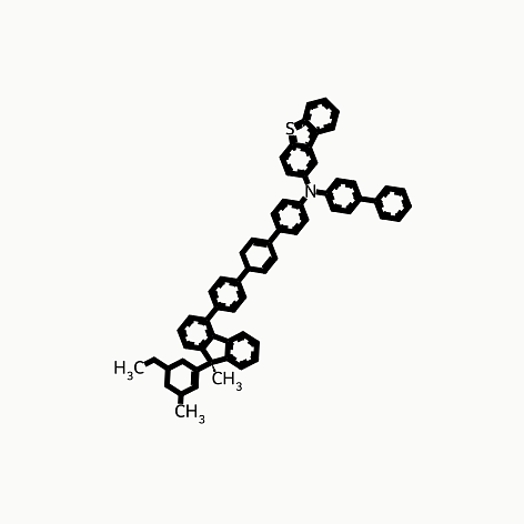 CCC1CC([C@]2(C)c3ccccc3-c3c(-c4ccc(C5C=CC(c6ccc(N(c7ccc(-c8ccccc8)cc7)c7ccc8sc9ccccc9c8c7)cc6)=CC5)cc4)cccc32)=CC(C)C1